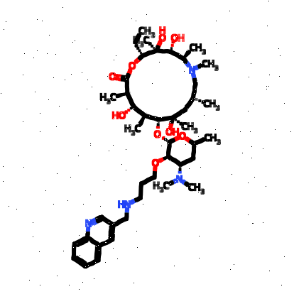 CC[C@H]1OC(=O)[C@H](C)[C@@H](O)[C@H](C)[C@@H](O[C@@H]2OC(C)C[C@H](N(C)C)[C@H]2OCCCNCc2cnc3ccccc3c2)[C@](C)(O)C[C@@H](C)CN(C)[C@H](C)[C@@H](O)[C@]1(C)O